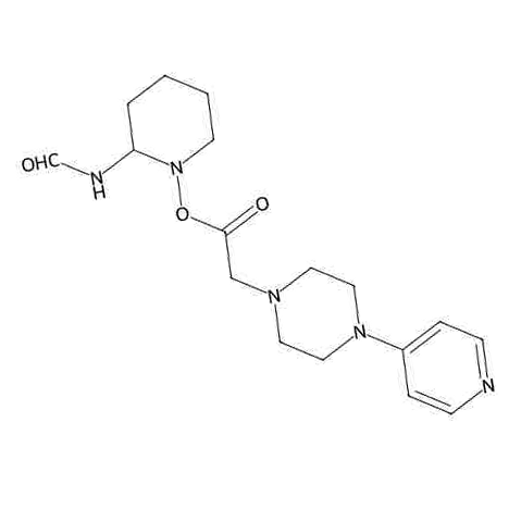 O=CNC1CCCCN1OC(=O)CN1CCN(c2ccncc2)CC1